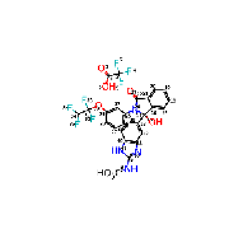 O=C(O)C(F)(F)F.O=C(O)Nc1nc2cc(C3(O)c4ccccc4C(=O)N3c3cccc(OC(F)(F)C(F)F)c3)ccc2[nH]1